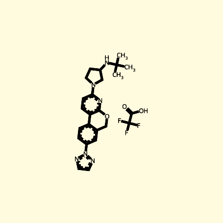 CC(C)(C)NC1CCN(c2ccc3c(n2)OCc2cc(-n4nccn4)ccc2-3)C1.O=C(O)C(F)(F)F